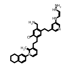 C=C1C(CCc2cc(CCc3cncc(N/C=C\NN)c3)c(CN)cc2Cl)=CC=CN1c1ccc2c(c1)CCCC2